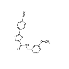 COc1cccc(CNC(=O)c2ccc(-c3ccc(C#N)cc3)s2)c1